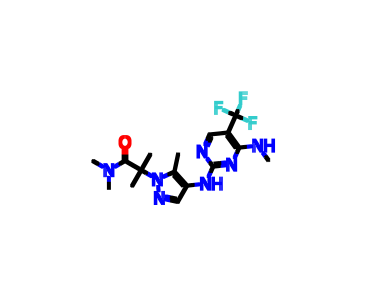 CNc1nc(Nc2cnn(C(C)(C)C(=O)N(C)C)c2C)ncc1C(F)(F)F